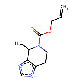 C=CCOC(=O)N1CCc2[nH]cnc2C1C